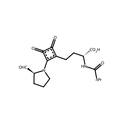 CCCC(=O)N[C@H](CCc1c(N2CCC[C@H]2C=O)c(=O)c1=O)C(=O)O